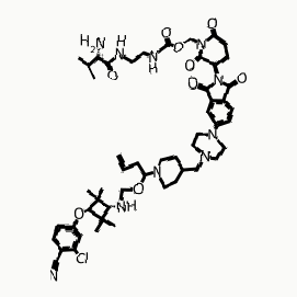 C=CCC(OCN[C@H]1C(C)(C)[C@H](Oc2ccc(C#N)c(Cl)c2)C1(C)C)N1CCC(CN2CCN(c3ccc4c(c3)C(=O)N(C3CCC(=O)N(COC(=O)NCCNC(=O)[C@@H](N)C(C)C)C3=O)C4=O)CC2)CC1